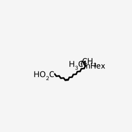 CCCCCCC(CCCCCCCC/C=C\CCCCCC(=O)O)N(C)C